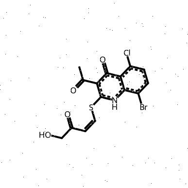 CC(=O)c1c(S/C=C\C(=O)CO)[nH]c2c(Br)ccc(Cl)c2c1=O